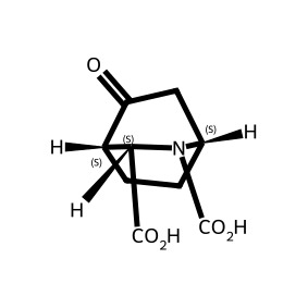 O=C1C[C@@H]2CC[C@H]1[C@@H](C(=O)O)N2C(=O)O